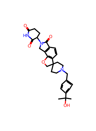 CC(C)(O)c1ccc(CN2CCC3(CC2)COc2c3ccc3c2CN(C2CCC(=O)NC2=O)C3=O)cc1